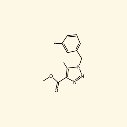 COC(=O)c1nnn(Cc2cccc(F)c2)c1C